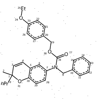 CCCC1(C)C=Cc2cc(N(Cc3ccccc3)C(=O)OCc3ccc(OCC)cc3)ccc2O1